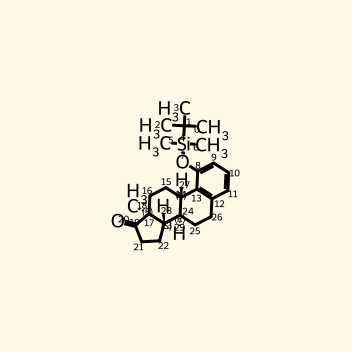 CC(C)(C)[Si](C)(C)Oc1cccc2c1[C@H]1CC[C@]3(C)C(=O)CC[C@H]3[C@@H]1CC2